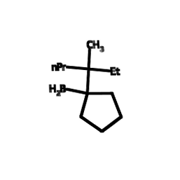 BC1(C(C)(CC)CCC)CCCC1